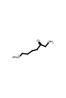 CCCCCCCCCC(=O)CN